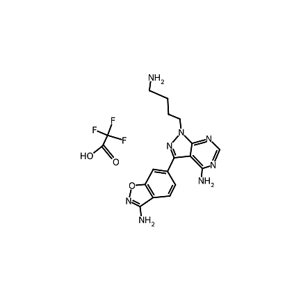 NCCCCn1nc(-c2ccc3c(N)noc3c2)c2c(N)ncnc21.O=C(O)C(F)(F)F